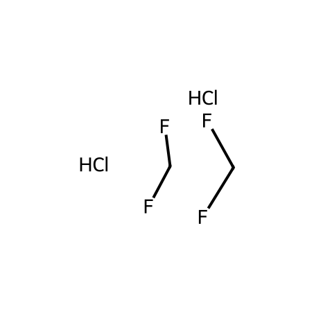 Cl.Cl.FCF.FCF